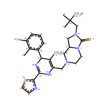 CCOC(=O)C1=C(CN2CCN3C(=S)N(CC(C)(C)C(=O)O)CC3C2)NC(c2nccs2)=NC1c1cccc(F)c1C